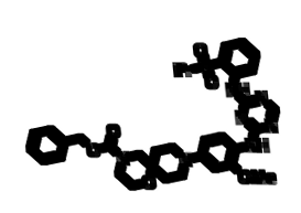 COc1cc(N2CCC3(CC2)CN(C(=O)OCc2ccccc2)CCO3)ccc1Nc1ncnc(Nc2ccccc2S(=O)(=O)C(C)C)n1